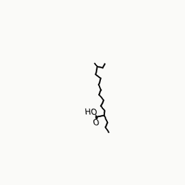 CCCC(CCCCCCCCC(C)CC)C(=O)O